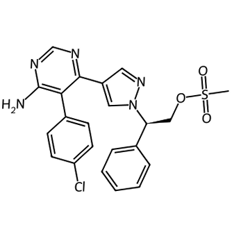 CS(=O)(=O)OC[C@@H](c1ccccc1)n1cc(-c2ncnc(N)c2-c2ccc(Cl)cc2)cn1